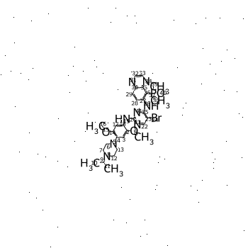 COc1cc(N2CCN(C(C)C)CC2)c(OC)cc1Nc1ncc(Br)c(Nc2ccc3nccnc3c2P(C)(C)=O)n1